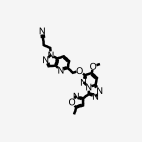 COc1cc2nnc(-c3cc(C)on3)n2nc1OCc1ccc2c(cnn2CCC#N)n1